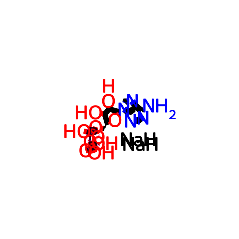 Nc1ncnc2c1ncn2[C@@H]1O[C@H](COP(=O)(O)OP(=O)(O)O)C(O)C1O.[NaH].[NaH]